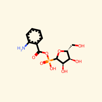 Nc1ccccc1C(=O)OP(=O)(O)[C]1O[C@H](CO)[C@@H](O)[C@H]1O